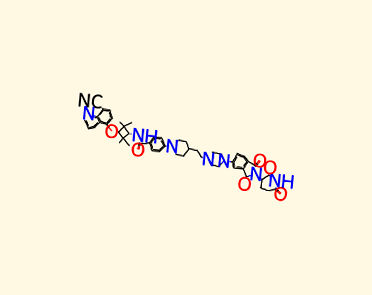 CC1(C)[C@H](NC(=O)c2ccc(N3CCC(CCN4CCN(c5ccc6c(c5)C(=O)N(C5CCC(=O)NC5=O)C6=O)CC4)CC3)cc2)C(C)(C)[C@H]1Oc1ccc(C#N)c2ncccc12